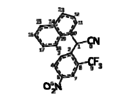 N#CC(c1ccc([N+](=O)[O-])cc1C(F)(F)F)c1cccc2ccccc12